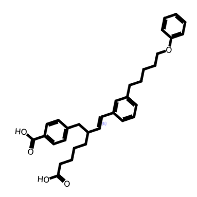 O=C(O)CCCCC(/C=C/c1cccc(CCCCCOc2ccccc2)c1)Cc1ccc(C(=O)O)cc1